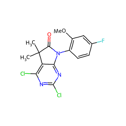 COc1cc(F)ccc1N1C(=O)C(C)(C)c2c(Cl)nc(Cl)nc21